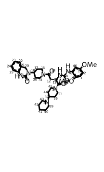 COc1ccc(OC)c(NC(=O)N[C@H](CC(=O)N2CCC(N3Cc4ccccc4NC3=O)CC2)C(=O)N2CCC(N3CCCCC3)CC2)c1